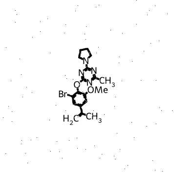 C=C(C)c1cc(Br)c(Oc2nc(C)nc(N3CCCC3)n2)c(OC)c1